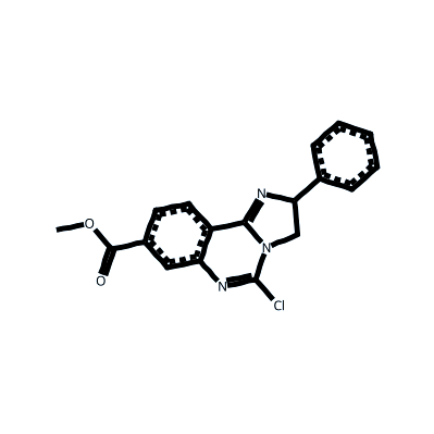 COC(=O)c1ccc2c(c1)N=C(Cl)N1CC(c3ccccc3)N=C21